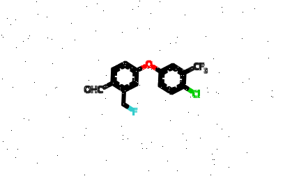 O=Cc1ccc(Oc2ccc(Cl)c(C(F)(F)F)c2)cc1CF